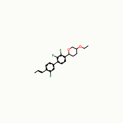 C/C=C/c1ccc(-c2ccc(C3CCC(OCC)CO3)c(F)c2F)cc1F